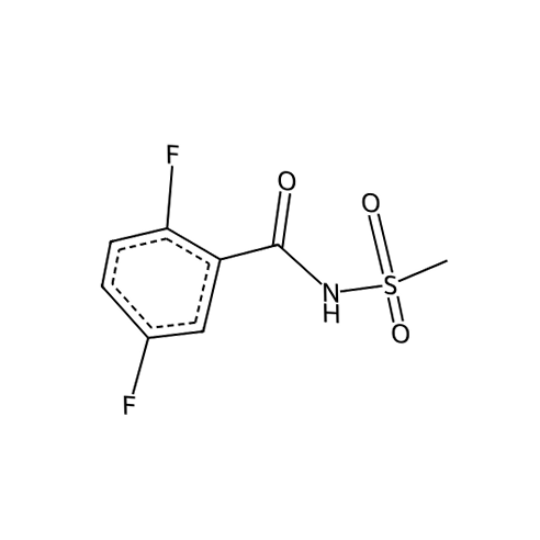 CS(=O)(=O)NC(=O)c1cc(F)ccc1F